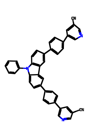 N#Cc1cncc(-c2ccc(-c3ccc4c(c3)c3cc(-c5ccc(-c6cncc(C#N)c6)cc5)ccc3n4-c3ccccc3)cc2)c1